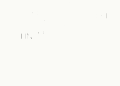 CC1CCC(NOC(=O)C2CCC(CO)CC2)CC1